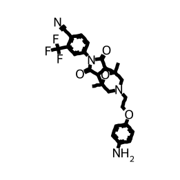 CC12CN(CCOc3ccc(N)cc3)CC(C)(O1)C1C(=O)N(c3ccc(C#N)c(C(F)(F)F)c3)C(=O)C12